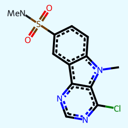 CNS(=O)(=O)c1ccc2c(c1)c1ncnc(Cl)c1n2C